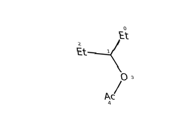 [CH2]CC(C[CH2])OC(C)=O